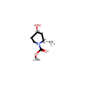 CC(C)(C)OC(=O)N1CC[C@@H](O)C[C@@H]1C(F)(F)F